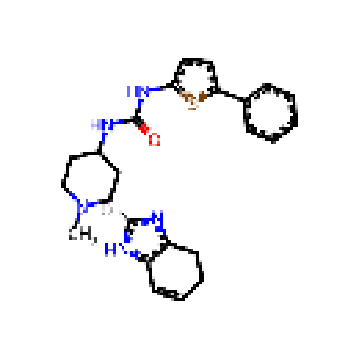 CN1CCC(NC(=O)Nc2ccc(-c3ccccc3)s2)C[C@@H]1c1nc2c([nH]1)C=CCC2